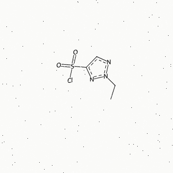 CCn1ncc(S(=O)(=O)Cl)n1